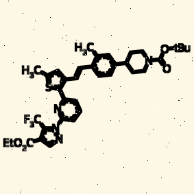 CCOC(=O)c1cnn(-c2cccc(-c3sc(C)cc3C=Cc3ccc(C4CCN(C(=O)OC(C)(C)C)CC4)cc3C)n2)c1C(F)(F)F